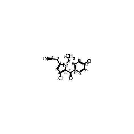 CCn1c(CC#N)cc(Cl)c1C(=O)c1ccc(Cl)cc1